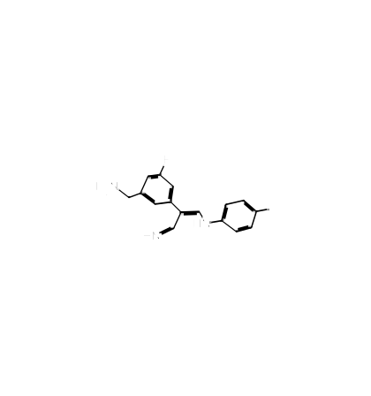 N=C/C(=C\Nc1ccc(F)cc1)c1cc(F)cc(CN)c1